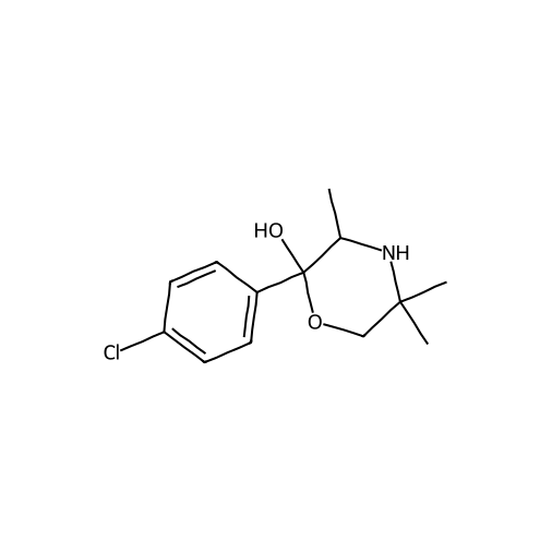 CC1NC(C)(C)COC1(O)c1ccc(Cl)cc1